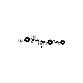 Nc1ccc(NC(=O)NCCNCC(O)COc2ccc(OCCOC3CCCC3)cc2)cc1